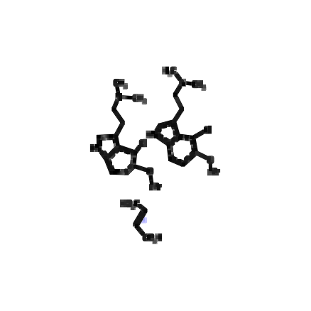 CCCOc1ccc2[nH]cc(CCN(C)C)c2c1Cl.CCCOc1ccc2[nH]cc(CCN(C)C)c2c1Cl.O=C(O)/C=C/C(=O)O